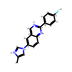 Cc1cn(-c2ccc3nc(-c4ccc(F)cc4)ncc3c2)cn1